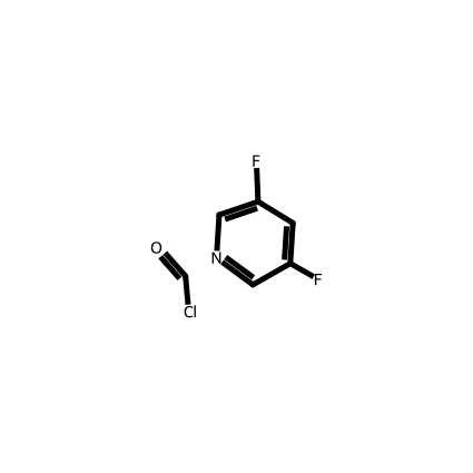 Fc1cncc(F)c1.O=CCl